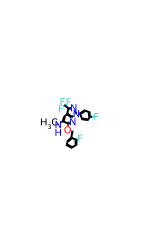 CNc1cc2c(C(F)(F)F)nn(-c3ccc(F)cc3)c2nc1OCc1ccccc1F